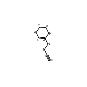 [C]#CCCC1=CCCCC1